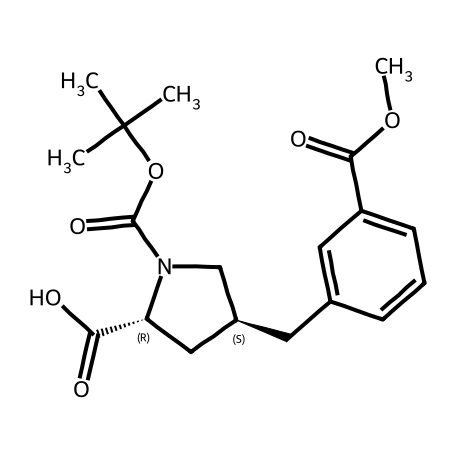 COC(=O)c1cccc(C[C@H]2C[C@H](C(=O)O)N(C(=O)OC(C)(C)C)C2)c1